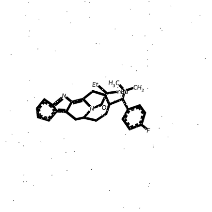 CCCCC(CC)C(=O)N1C2=C3N=c4ccccc4=C3CC1CCC(C(c1ccc(F)cc1)N(C)C)CC2